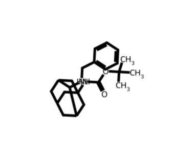 CC(C)(C)OC(=O)NC12CC3CC(C1)C(NCc1ccccc1)C(C3)C2